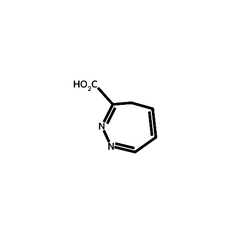 O=C(O)C1=NN=CC=CC1